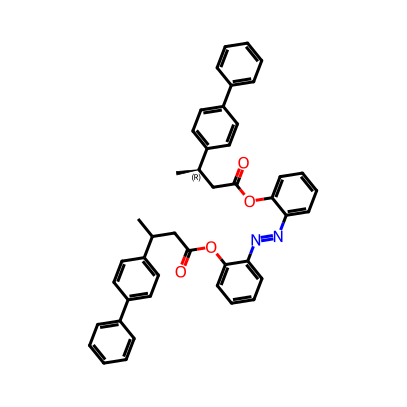 CC(CC(=O)Oc1ccccc1N=Nc1ccccc1OC(=O)C[C@@H](C)c1ccc(-c2ccccc2)cc1)c1ccc(-c2ccccc2)cc1